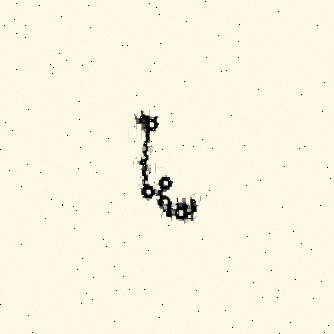 Cc1ccc(NCCOCCC(=O)NCCOc2cccc([C@H](c3ccccc3)C3CCN(C(=O)N4CC[C@@H]5OCC(=O)N[C@@H]5C4)CC3)c2)c2nonc12